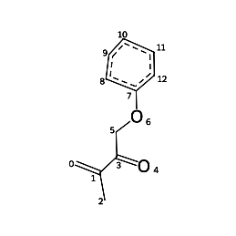 C=C(C)C(=O)COc1ccccc1